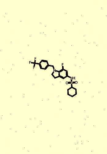 O=S(=O)(Nc1cc(F)c2c(c1)CCN2Cc1ccc(C(F)(F)F)cc1)C1CCCCC1